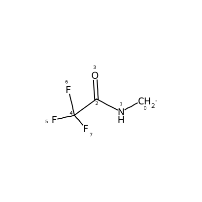 [CH2]NC(=O)C(F)(F)F